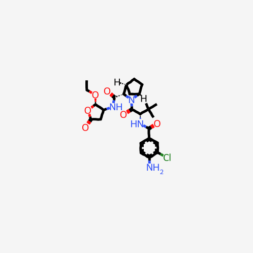 CCO[C@@H]1OC(=O)CC1NC(=O)[C@@H]1[C@H]2CC[C@H](C2)N1C(=O)[C@@H](NC(=O)c1ccc(N)c(Cl)c1)C(C)(C)C